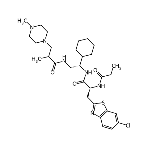 CCC(=O)N[C@@H](Cc1nc2ccc(Cl)cc2s1)C(=O)N[C@H](CNC(=O)C(C)CN1CCN(C)CC1)C1CCCCC1